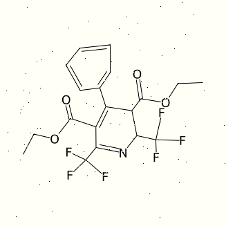 CCOC(=O)C1=C(c2ccccc2)C(C(=O)OCC)C(C(F)(F)F)N=C1C(F)(F)F